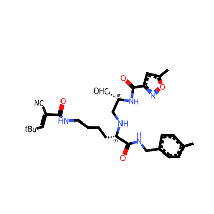 Cc1ccc(CNC(=O)[C@H](CCCCNC(=O)C(C#N)=CC(C)(C)C)NC[C@H](C=O)NC(=O)c2cc(C)on2)cc1